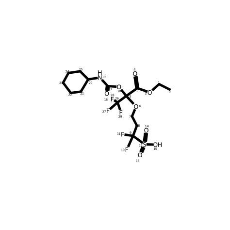 CCOC(=O)C(OCCC(F)(F)S(=O)(=O)O)(OC(=O)NC1CCCCC1)C(F)(F)F